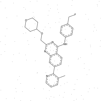 Cc1cccnc1-c1ccc2c(Nc3ccc(CF)cc3)nc(COC3CCOCC3)nc2c1